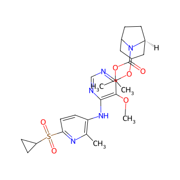 COc1c(Nc2ccc(S(=O)(=O)C3CC3)nc2C)ncnc1OC1CC2CC[C@@H](C1)N2C(=O)OC(C)C